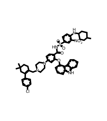 CC1CCC(Nc2ccc(S(=O)(=O)NC(=O)c3ccc(N4CCN(CC5=C(c6ccc(Cl)cc6)CC(C)(C)CC5)CC4)cc3Oc3cccc4[nH]c5ccccc5c34)cc2[N+](=O)[O-])CC1